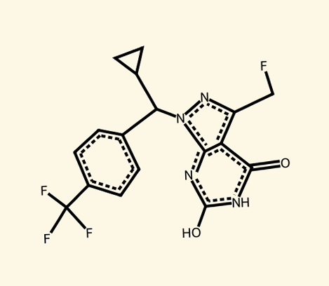 O=c1[nH]c(O)nc2c1c(CF)nn2C(c1ccc(C(F)(F)F)cc1)C1CC1